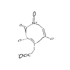 O=C([O-])CC1=C(Cl)C(=O)[N+](=O)C=C1Cl